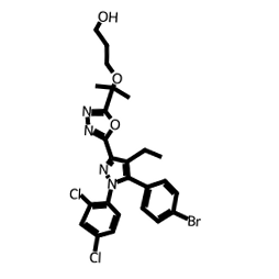 CCc1c(-c2nnc(C(C)(C)OCCCO)o2)nn(-c2ccc(Cl)cc2Cl)c1-c1ccc(Br)cc1